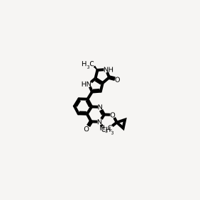 C[C@H]1NC(=O)c2cc(-c3cccc4c(=O)n(C)c(OC5(C)CC5)nc34)[nH]c21